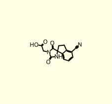 N#Cc1cccc2c1CCC21NC(=O)N(CC(=O)O)C1=O